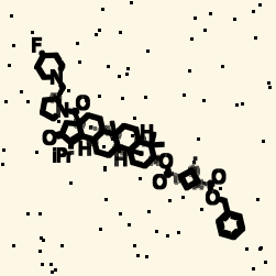 CC(C)C1=C2[C@H]3CC[C@@H]4[C@@]5(C)CC[C@H](OC(=O)[C@H]6C[C@@H](C(=O)OCc7ccccc7)[C@H]6C)C(C)(C)[C@@H]5CC[C@@]4(C)[C@]3(C)CC[C@@]2(C(=O)N2CCC[C@H]2CN2CCC(F)CC2)CC1=O